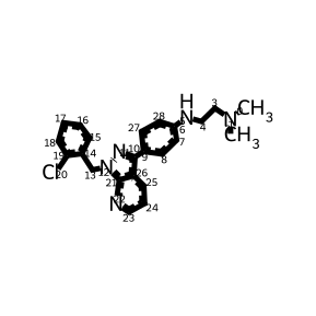 CN(C)CCNc1ccc(-c2nn(Cc3ccccc3Cl)c3ncccc23)cc1